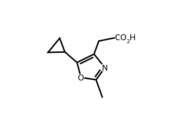 Cc1nc(CC(=O)O)c(C2CC2)o1